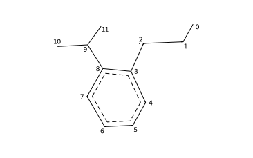 CC[CH]c1ccccc1C(C)C